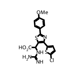 COc1ccc(-c2nc(-c3ccc(Cl)s3)c(C(NC(=N)N)C(=O)O)s2)cc1